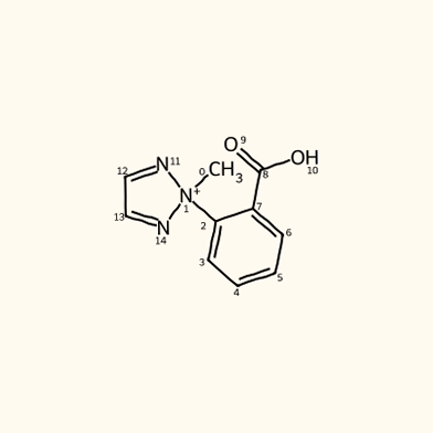 C[N+]1(c2ccccc2C(=O)O)N=CC=N1